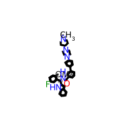 COc1ccc(F)cc1[C@@H](NC(=O)c1cccc(-c2ccc(N3CCN(C4CCN(C)CC4)CC3)cc2)c1)c1cc2ccccc2[nH]1